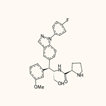 COc1cccc([C@@H](c2ccc3c(cnn3-c3ccc(F)cc3)c2)[C@@H](CO)NC(=O)[C@H]2CCCN2)c1